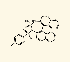 Cc1ccc(S(=O)(=O)N2c3ccc4ccccc4c3-c3c(ccc4ccccc34)NP2(O)=S)cc1